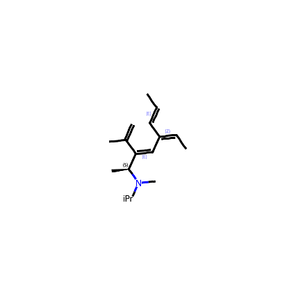 C=C(C)\C(=C/C(=C\C)/C=C/C)[C@H](C)N(C)C(C)C